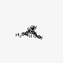 COCc1ccc(C(=O)NCC2CCN(CC(=O)c3ccc(F)cc3)CC2)cn1.O=C(O)C(F)(F)F